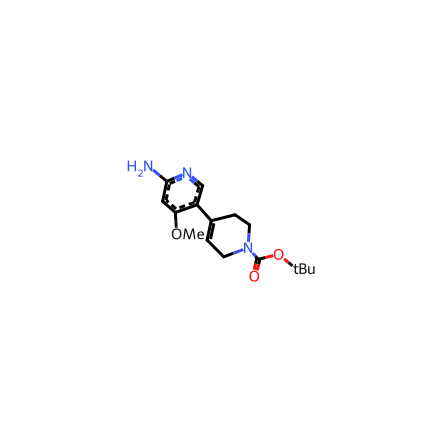 COc1cc(N)ncc1C1=CCN(C(=O)OC(C)(C)C)CC1